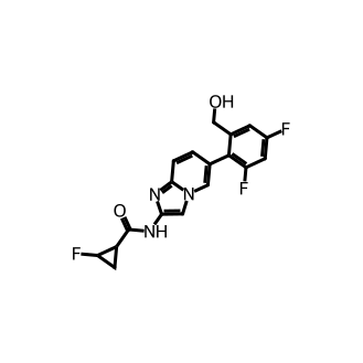 O=C(Nc1cn2cc(-c3c(F)cc(F)cc3CO)ccc2n1)C1CC1F